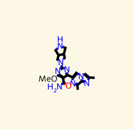 COc1nc(N2CC3CNCC3C2)nc(-c2cn3cc(C)nc3c(C)n2)c1C(N)=O